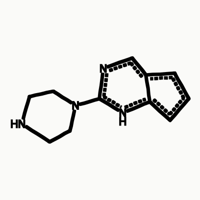 c1cc2cnc(N3CCNCC3)[nH]c-2c1